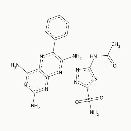 CC(=O)Nc1nnc(S(N)(=O)=O)s1.Nc1nc(N)c2nc(-c3ccccc3)c(N)nc2n1